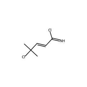 CC(C)(Cl)/C=C/C(=N)Cl